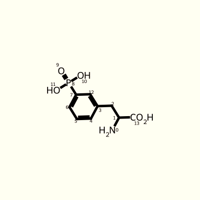 NC(Cc1cccc(P(=O)(O)O)c1)C(=O)O